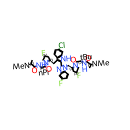 CCC[C@H](NC(=O)[C@H](C)NC)C(=O)N1C[C@@H](F)C[C@H]1Cc1c(-c2nc3cc(F)ccc3n2C[C@@H]2C[C@H](F)CN2C(=O)[C@@H](NC(=O)[C@H](C)NC)C(C)(C)C)[nH]c2cc(Cl)ccc12